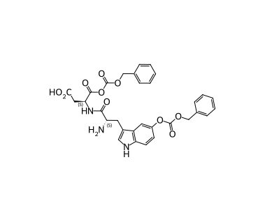 N[C@@H](Cc1c[nH]c2ccc(OC(=O)OCc3ccccc3)cc12)C(=O)N[C@@H](CC(=O)O)C(=O)OC(=O)OCc1ccccc1